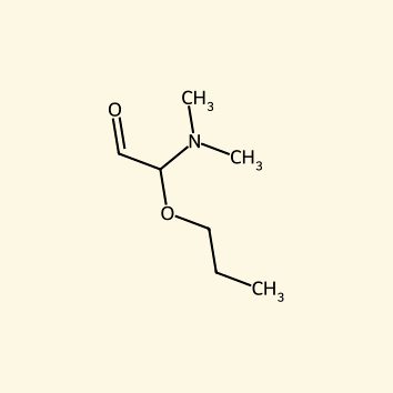 CCCOC(C=O)N(C)C